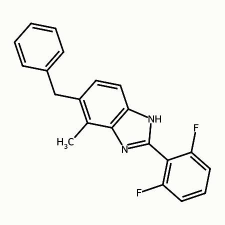 Cc1c(Cc2ccccc2)ccc2[nH]c(-c3c(F)cccc3F)nc12